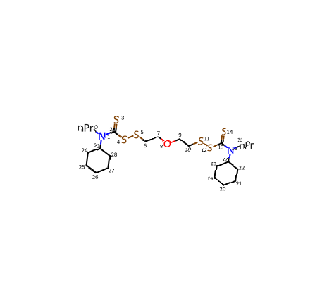 CCCN(C(=S)SSCCOCCSSC(=S)N(CCC)C1CCCCC1)C1CCCCC1